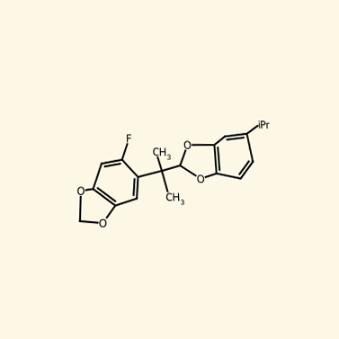 CC(C)c1ccc2c(c1)OC(C(C)(C)c1cc3c(cc1F)OCO3)O2